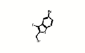 Fc1c(CBr)sc2ccc(Br)cc12